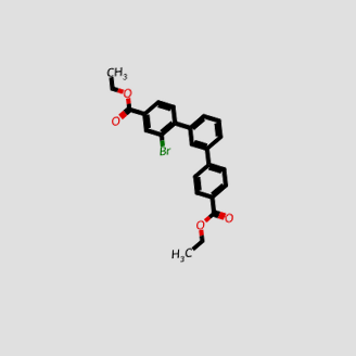 CCOC(=O)c1ccc(-c2cccc(-c3ccc(C(=O)OCC)cc3Br)c2)cc1